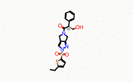 CCc1ccc(S(=O)(=O)n2cc3c(n2)CN(C(=O)[C@H](CO)c2ccccc2)C3)s1